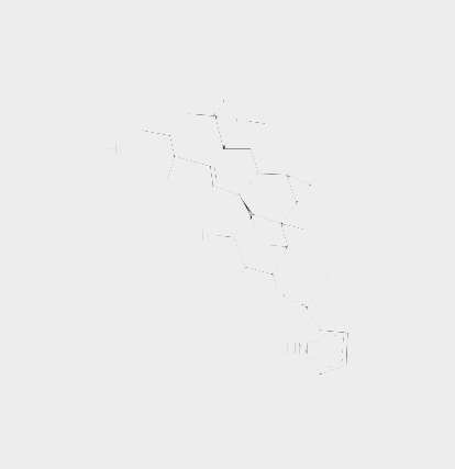 COC12CC3C4CC4C4(C)C5OC3(C(C)=C1C(C)C(C(C)O)OC2=O)C4C(O)C(C)C5OC(=O)c1ccc[nH]1